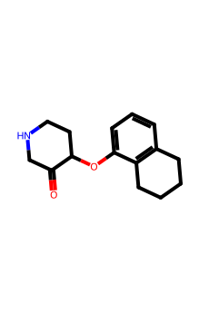 O=C1CNCCC1Oc1cccc2c1CCCC2